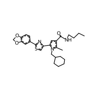 CCCCNC(=O)c1cc(-c2csc(-c3ccc4c(c3)OCO4)n2)n(CC2CCCCC2)c1C